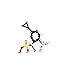 CCS(=O)(=O)N(C)c1cc(C2CC2)ccc1[N+](=O)[O-]